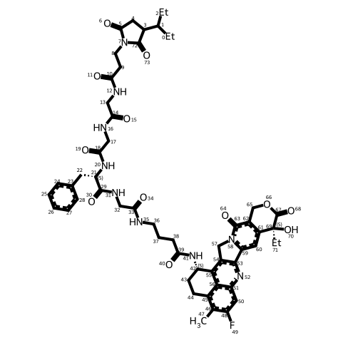 CCC(CC)C1CC(=O)N(CCC(=O)NCC(=O)NCC(=O)N[C@@H](Cc2ccccc2)C(=O)NCC(=O)NCCCC(=O)N[C@H]2CCc3c(C)c(F)cc4nc5c(c2c34)Cn2c-5cc3c(c2=O)COC(=O)[C@]3(O)CC)C1=O